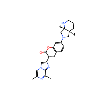 Cc1cn2cc(-c3cc4ccc(N5C[C@H]6CCCN[C@H]6C5)cc4oc3=O)nc2c(C)n1